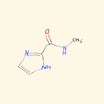 [CH2]NC(=O)c1ncc[nH]1